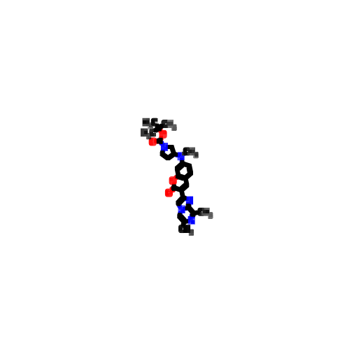 Cc1cn2cc(-c3cc4ccc(N(C)C5CCN(C(=O)OC(C)(C)C)C5)cc4oc3=O)nc2c(C)n1